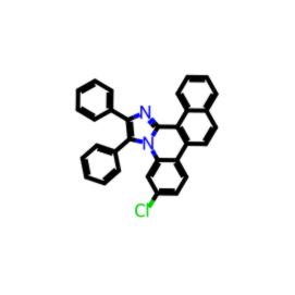 Clc1ccc2c3ccc4ccccc4c3c3nc(-c4ccccc4)c(-c4ccccc4)n3c2c1